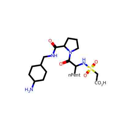 CCCCCC(NS(=O)(=O)CC(=O)O)C(=O)N1CCCC1C(=O)NCC1CCC(N)CC1